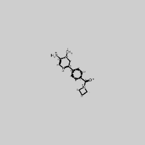 CN1CC(c2ccc(C(=O)N3CCC3)cc2)=NC=C1N